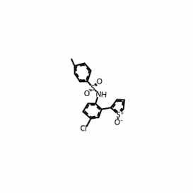 Cc1ccc(S(=O)(=O)Nc2ccc(Cl)cc2-c2ccc[s+]2[O-])cc1